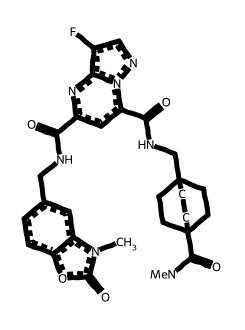 CNC(=O)C12CCC(CNC(=O)c3cc(C(=O)NCc4ccc5oc(=O)n(C)c5c4)nc4c(F)cnn34)(CC1)CC2